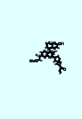 C=CC(=O)N1CC2(CCN(c3nc4c(c(-c5cccc6cc(O)ccc56)c3C)CCN([C@@H](C)COC)C4)C2)C1